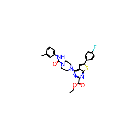 CCOC(=O)c1nc(N2CCN(C(=O)Nc3cccc(C)c3)CC2)c2cc(-c3ccc(F)cc3)sc2n1